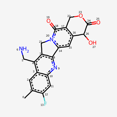 Cc1cc2c(CN)c3c(nc2cc1F)-c1cc2c(c(=O)n1C3)COC(=O)C2O